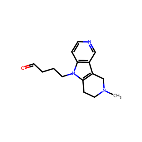 CN1CCc2c(c3cnccc3n2CCCC=O)C1